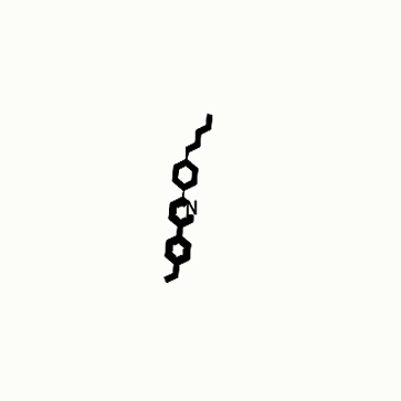 CCCCC[C@H]1CC[C@H](c2ccc(-c3ccc(CC)cc3)cn2)CC1